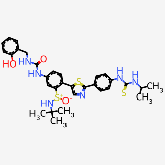 CC(C)NC(=S)Nc1ccc(-c2ncc(-c3ccc(NC(=O)NCc4ccccc4O)cc3[S+]([O-])NC(C)(C)C)s2)cc1